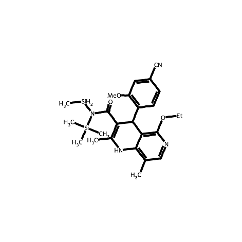 CCOc1ncc(C)c2c1C(c1ccc(C#N)cc1OC)C(C(=O)N([SiH2]C)[Si](C)(C)C)=C(C)N2